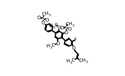 COc1cc(-c2ccc(OS(C)(=O)=O)cc2)c(OC)c(OS(C)(=O)=O)c1-c1ccc(OCC=C(C)C)c(F)c1